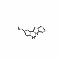 Brc1ccc2ncn3c4ccccc4cc3c2c1